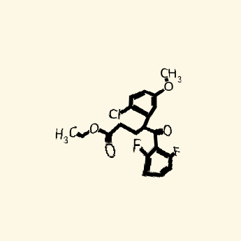 CCOC(=O)CCC(C(=O)c1c(F)cccc1F)c1cc(OC)ccc1Cl